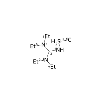 CCN(CC)C(N[SiH2]Cl)N(CC)CC